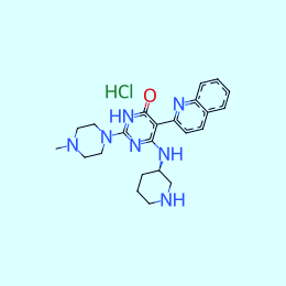 CN1CCN(c2nc(N[C@@H]3CCCNC3)c(-c3ccc4ccccc4n3)c(=O)[nH]2)CC1.Cl